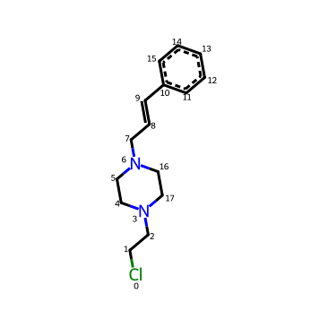 ClCCN1CCN(CC=Cc2ccccc2)CC1